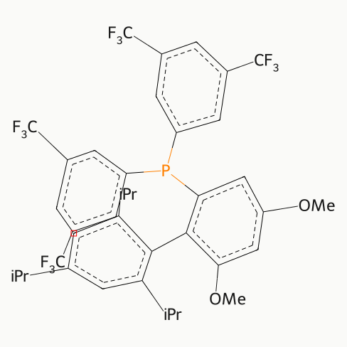 COc1cc(OC)c(-c2c(C(C)C)cc(C(C)C)cc2C(C)C)c(P(c2cc(C(F)(F)F)cc(C(F)(F)F)c2)c2cc(C(F)(F)F)cc(C(F)(F)F)c2)c1